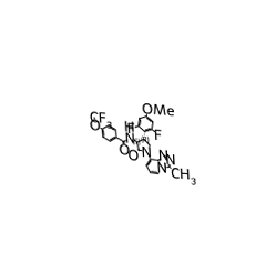 COc1cc(F)c([C@@H]2CN(c3cccn4c(C)nnc34)C(=O)[C@H]2NC(=O)c2ccc(OC(F)(F)F)cc2)c(F)c1